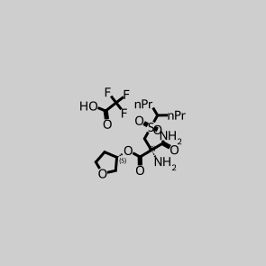 CCCC(CCC)S(=O)(=O)C[C@@](N)(C(N)=O)C(=O)O[C@H]1CCOC1.O=C(O)C(F)(F)F